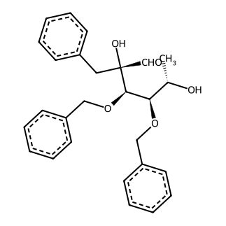 C[C@H](O)[C@@H](OCc1ccccc1)[C@@H](OCc1ccccc1)[C@](O)(C=O)Cc1ccccc1